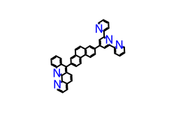 c1ccc(-c2cc(-c3ccc4c(ccc5cc(-c6c7ccccc7nc7c6ccc6cccnc67)ccc54)c3)cc(-c3ccccn3)n2)nc1